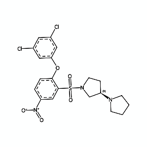 O=[N+]([O-])c1ccc(Oc2cc(Cl)cc(Cl)c2)c(S(=O)(=O)N2CC[C@@H](N3CCCC3)C2)c1